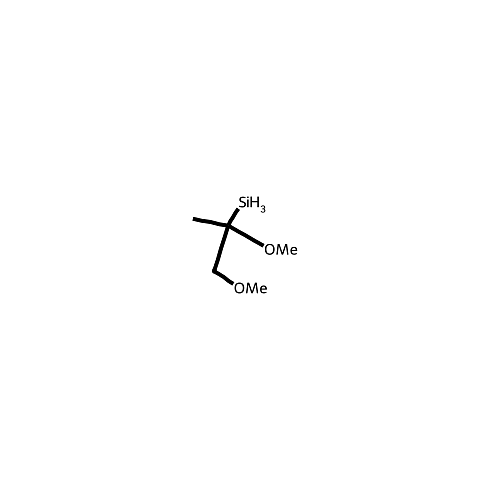 COCC(C)([SiH3])OC